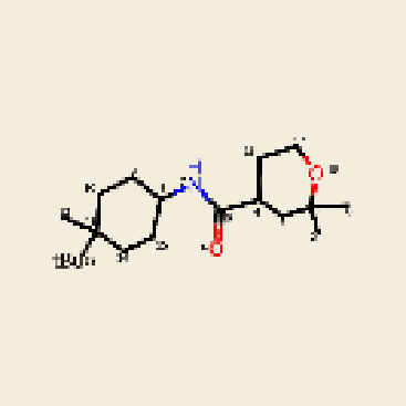 CC1(C)CC(C(=O)NC2CCC(C)(C(C)(C)C)CC2)CCO1